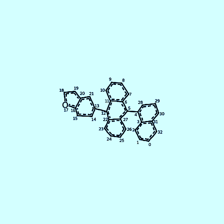 c1ccc2c(-c3c4ccccc4c(-c4ccc5occc5c4)c4ccccc34)cccc2c1